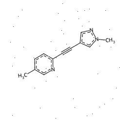 Cc1ccc(C#Cc2cnn(C)c2)nc1